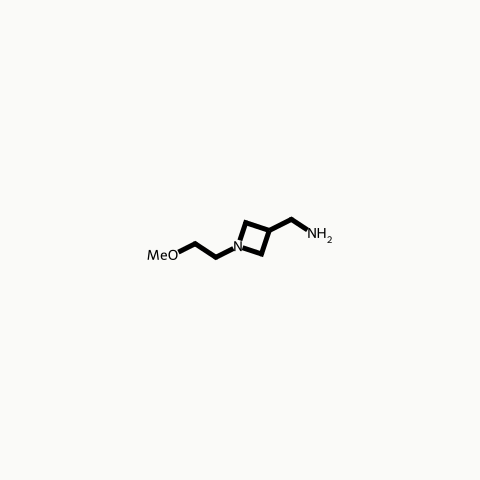 COCCN1CC(CN)C1